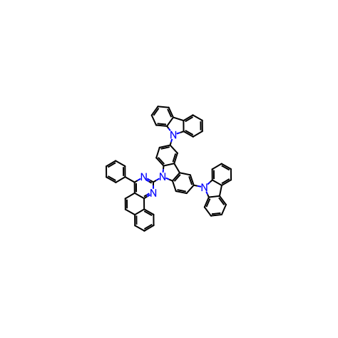 c1ccc(-c2nc(-n3c4ccc(-n5c6ccccc6c6ccccc65)cc4c4cc(-n5c6ccccc6c6ccccc65)ccc43)nc3c2ccc2ccccc23)cc1